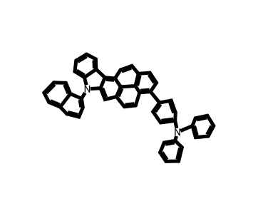 c1ccc(N(c2ccccc2)c2ccc(-c3ccc4ccc5c6c(ccc3c46)cc3c5c4ccccc4n3-c3cccc4ccccc34)cc2)cc1